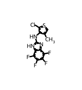 Cc1csc(Cl)c1Nc1nc2c(F)c(F)c(F)c(F)c2[nH]1